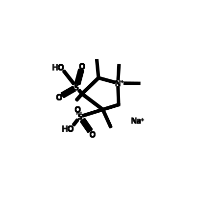 CC1C(C)(S(=O)(=O)O)C(C)(S(=O)(=O)O)C[N+]1(C)C.[Na+]